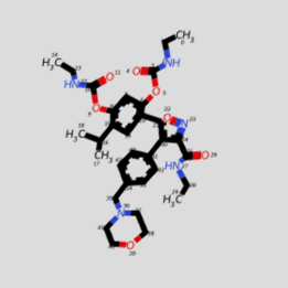 CCNC(=O)Oc1cc(OC(=O)NCC)c(C(C)C)cc1-c1onc(C(=O)NCC)c1-c1ccc(CN2CCOCC2)cc1